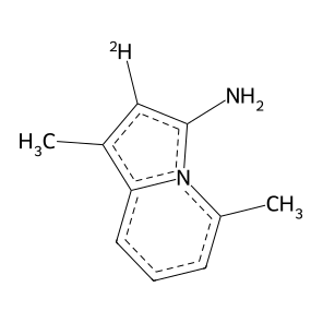 [2H]c1c(C)c2cccc(C)n2c1N